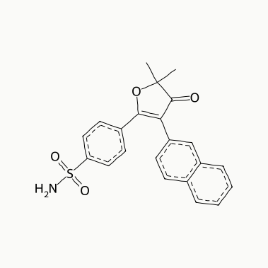 CC1(C)OC(c2ccc(S(N)(=O)=O)cc2)=C(c2ccc3ccccc3c2)C1=O